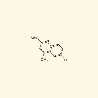 COc1cc(OC)c2cc(Cl)ccc2n1